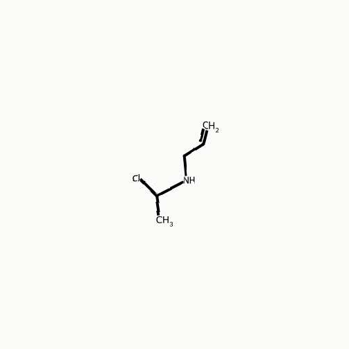 C=CCNC(C)Cl